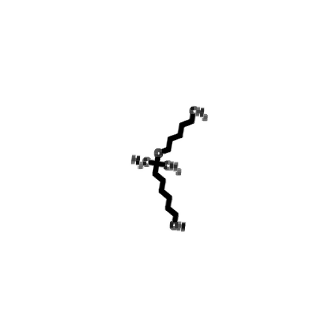 CCCCCCOC(C)(C)CCCCCCO